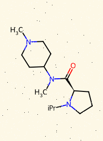 CC(C)N1CCC[C@@H]1C(=O)N(C)C1CCN(C)CC1